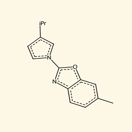 Cc1ccc2nc(-n3ccc(C(C)C)c3)oc2c1